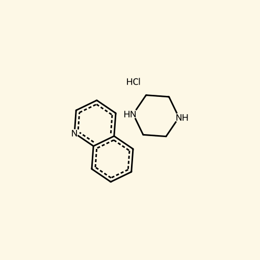 C1CNCCN1.Cl.c1ccc2ncccc2c1